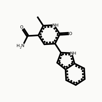 Cc1[nH]c(=O)c(-c2cc3ccccc3[nH]2)cc1C(N)=O